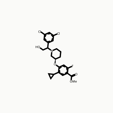 COC(=O)c1cc(C2CC2)c(O[C@@H]2CCCN(C(CO)c3cc(Cl)cc(Cl)c3)C2)cc1F